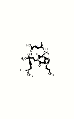 CCCn1cnc2c1c(=O)n(CCC(C)(O)C#CCN(C)C)c(=O)n2C.O=C(O)/C=C/C(=O)O